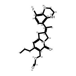 CCCc1cc2n(c(=O)c1COC=O)C/C(=C(\C)c1ccc(F)c3c1NCCO3)C2